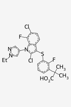 CCn1cc(-n2c(Cl)c(Sc3cccc(C(C)(C)C(=O)O)c3F)c3ccc(Cl)c(F)c32)cn1